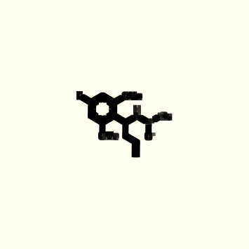 C=CCC(N[S+]([O-])C(C)(C)C)c1c(OC)cc(F)cc1OC